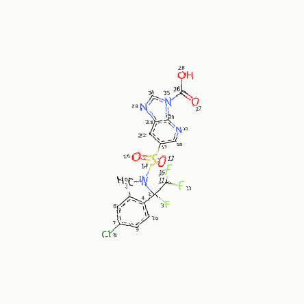 CN(C(F)(c1ccc(Cl)cc1)C(F)F)S(=O)(=O)c1cnc2c(c1)ncn2C(=O)O